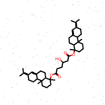 CC(C)=C1C=C2CCC3C(C)(OC(=O)CCC(O)CC(=O)OC4(C)CCCC5(C)C6CCC(=C(C)C)C=C6CCC45)CCCC3(C)C2CC1